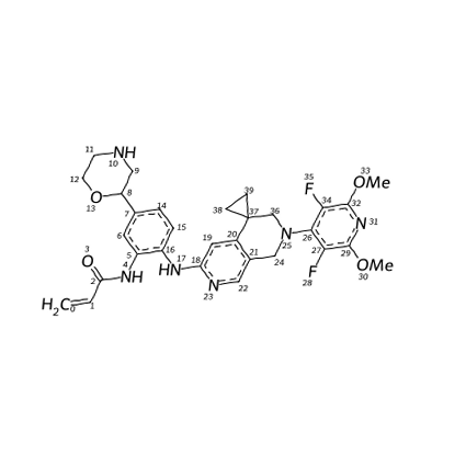 C=CC(=O)Nc1cc(C2CNCCO2)ccc1Nc1cc2c(cn1)CN(c1c(F)c(OC)nc(OC)c1F)CC21CC1